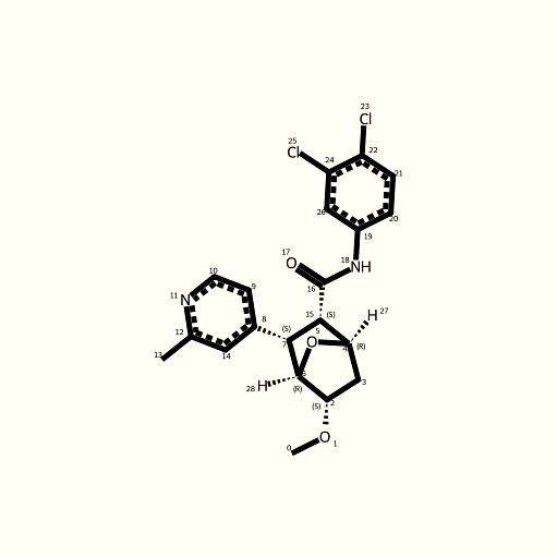 CO[C@H]1C[C@H]2O[C@@H]1[C@H](c1ccnc(C)c1)[C@@H]2C(=O)Nc1ccc(Cl)c(Cl)c1